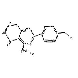 COc1nc(-c2ccc(CN)cc2)cc2cn[nH]c(=O)c12.Cl